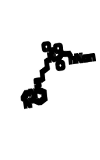 CCCCCCCCC/C=C1/OC(=O)N(CCCCSc2cccc3nccn23)C1=O